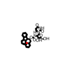 O=C(NC1C(O)[C@@H](CO)O[C@H]1n1ccc(=O)[nH]c1=O)OC(Cc1ccccc1)C1c2ccccc2-c2ccccc21